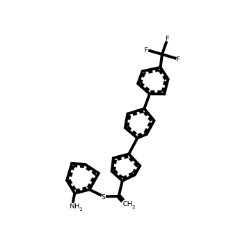 C=C(Sc1ccccc1N)c1ccc(-c2ccc(-c3ccc(C(F)(F)F)cc3)cc2)cc1